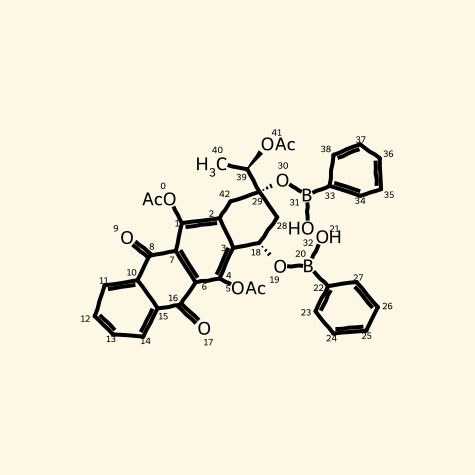 CC(=O)Oc1c2c(c(OC(C)=O)c3c1C(=O)c1ccccc1C3=O)[C@@H](OB(O)c1ccccc1)C[C@](OB(O)c1ccccc1)([C@@H](C)OC(C)=O)C2